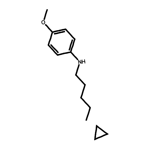 C1CC1.CCCCCNc1ccc(OC)cc1